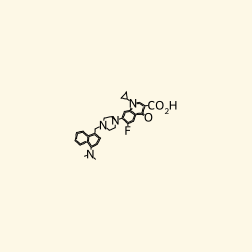 CN(C)c1ccc(CN2CCN(c3cc4c(cc3F)c(=O)c(C(=O)O)cn4C3CC3)CC2)c2ccccc12